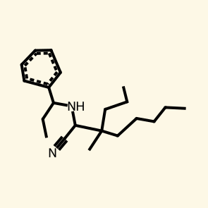 CCCCCC(C)(CCC)C(C#N)NC(CC)c1ccccc1